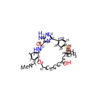 CNCc1cccc2c1OCCCCCCC(O)CC(C)(C)S(=O)(=O)c1ccc(cc1)-c1cnc(N)c(n1)C(=O)N2